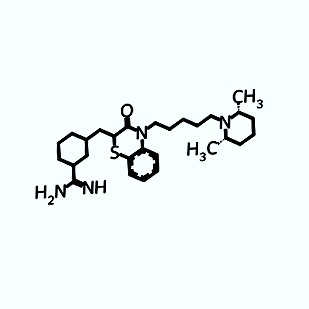 C[C@@H]1CCC[C@H](C)N1CCCCCN1C(=O)C(CC2CCCC(C(=N)N)C2)Sc2ccccc21